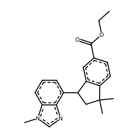 CCOC(=O)c1ccc2c(c1)C(c1cccc3c1ncn3C)CC2(C)C